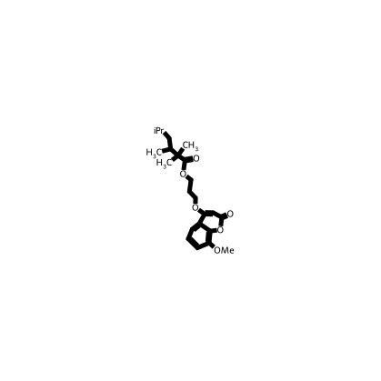 COc1cccc2c(OCCCOC(=O)C(C)(C)C(C)CC(C)C)cc(=O)oc12